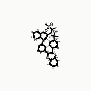 CC(Cc1cc(-c2cccc(-c3nc4ccccc4nc3-c3ccc(C(C)(C)O)cc3)c2)c2ncccc2c1)S(C)(=O)=O